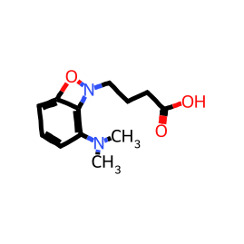 CN(C)c1cccc2on(CCCC(=O)O)c12